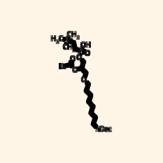 CCCCCCCCCCCCCCCCCCOCC(COP(=O)(O)CC[N+](C)(C)C)OC(=O)CC